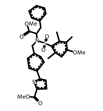 COC(=O)c1ccc(-c2ccc(CN(C(Cc3ccccc3)C(=O)OC)S(=O)(=O)c3c(C)cc(OC)c(C)c3C)cc2)s1